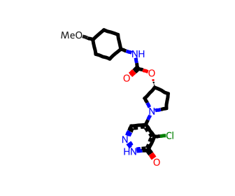 COC1CCC(NC(=O)O[C@@H]2CCN(c3cn[nH]c(=O)c3Cl)C2)CC1